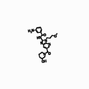 COCCCn1c(NC(=O)c2cccc(N)c2)nc2cc(C(=O)N3CCCC(O)C3)cnc21